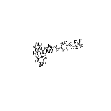 O[C@](Cn1cncn1)(Cn1cnc(C=Cc2ccc(OCC(F)(F)C(F)F)cc2)n1)c1ccc(F)cc1F